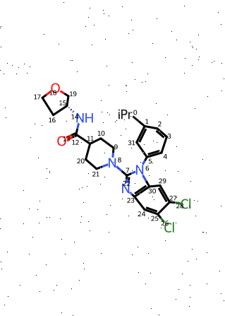 CC(C)c1cccc(-n2c(N3CCC(C(=O)N[C@@H]4CCOC4)CC3)nc3cc(Cl)c(Cl)cc32)c1